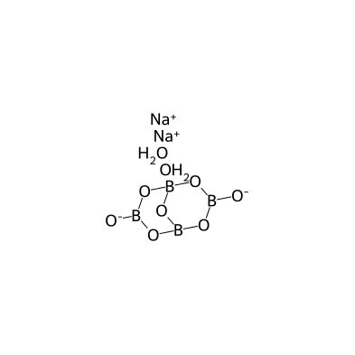 O.O.[Na+].[Na+].[O-]B1OB2OB([O-])OB(O1)O2